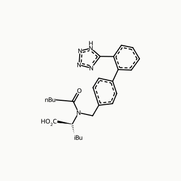 CCCCC(=O)N(Cc1ccc(-c2ccccc2-c2nnn[nH]2)cc1)[C@H](C(=O)O)[C@@H](C)CC